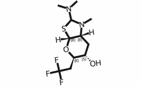 CN(C)C1S[C@H]2O[C@H](CC(F)(F)F)[C@@H](O)C[C@H]2N1C